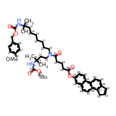 COc1ccc(COC(=O)NC(C)(C)CCCCCCCN(CCC(C)(C)NC(=O)OC(C)(C)C)C(=O)CCCC(=O)Oc2ccc3c(ccc4c5c(ccc43)C=CC5)c2)cc1